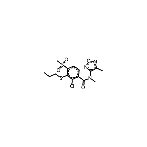 CCCSc1c(S(C)(=O)=O)ccc(C(=O)N(C)c2nonc2C)c1Cl